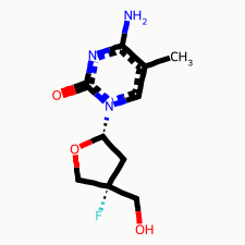 Cc1cn([C@@H]2C[C@@](F)(CO)CO2)c(=O)nc1N